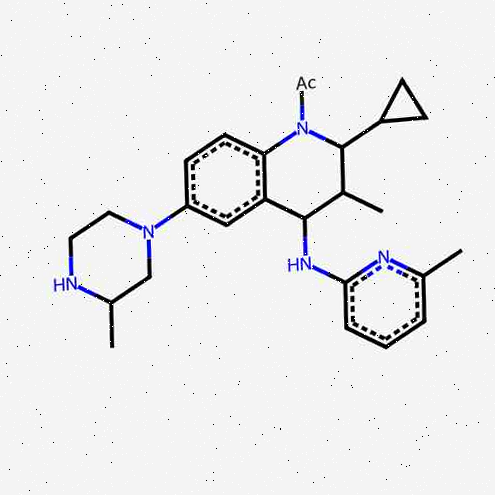 CC(=O)N1c2ccc(N3CCNC(C)C3)cc2C(Nc2cccc(C)n2)C(C)C1C1CC1